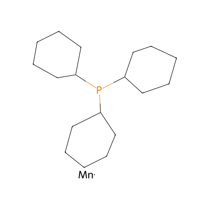 C1CCC(P(C2CCCCC2)C2CCCCC2)CC1.[Mn]